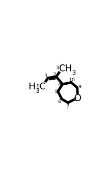 C/C=C(/C)C1CCCOCC1